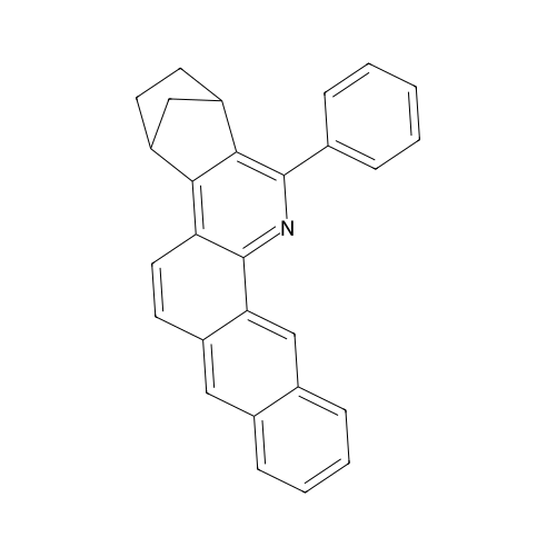 c1ccc(-c2nc3c(ccc4cc5ccccc5cc43)c3c2C2CCC3C2)cc1